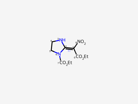 CCOC(=O)/C(=C1/NCCN1C(=O)OCC)[N+](=O)[O-]